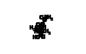 COc1cc(Cl)c(CO)cc1NC(=O)/C(=N\Nc1ccc(-c2ccc(N)c(Cl)c2)cc1Cl)C(C)=O